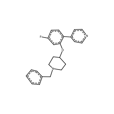 Fc1ccc(-c2ccncc2)c(OC2CCN(Cc3ccccc3)CC2)c1